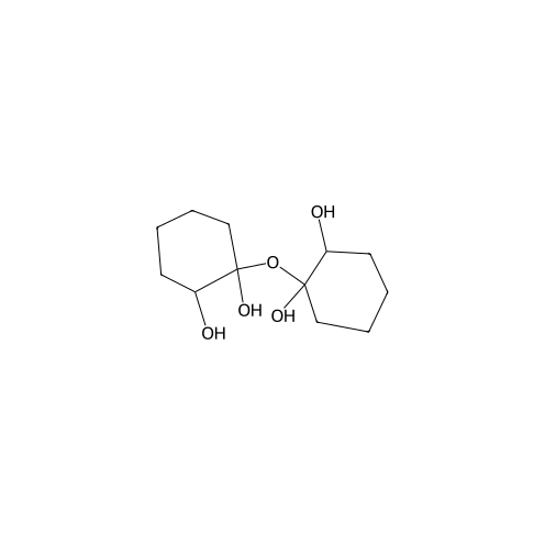 OC1CCCCC1(O)OC1(O)CCCCC1O